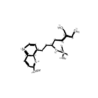 COc1ccc2nccc(CCC(CCC(O)CO)O[Si](C)(C)C(C)(C)C)c2n1